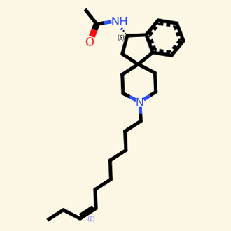 CC/C=C\CCCCCCN1CCC2(CC1)C[C@H](NC(C)=O)c1ccccc12